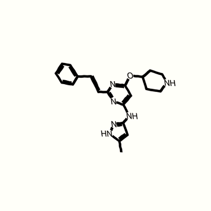 Cc1cc(Nc2cc(OC3CCNCC3)nc(/C=C/c3ccccc3)n2)n[nH]1